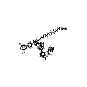 COCCOCCOCCOCCCOc1nn(C2CCC(N3C[C@@H](C)O[C@@H](C)C3)CC2)cc1Nc1ncc(-c2ccc(Cl)c(O[C@@H](C)Cn3cnnn3)c2)cn1